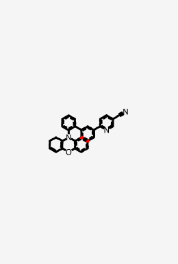 N#Cc1ccc(-c2cccc(-c3ccccc3N3C4=C(C=CCC4)Oc4ccccc43)c2)nc1